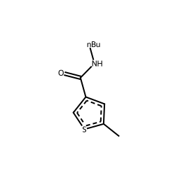 CCCCNC(=O)c1csc(C)c1